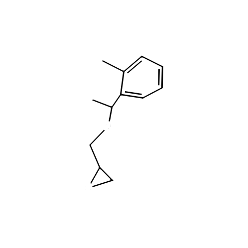 CC(OCC1CO1)c1ccccc1I